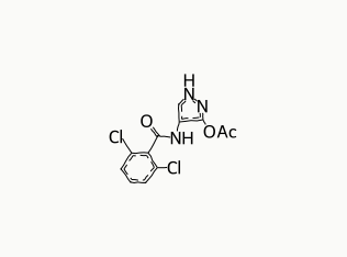 CC(=O)Oc1n[nH]cc1NC(=O)c1c(Cl)cccc1Cl